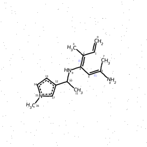 C=C/C(C)=C(\C=C(/C)N)NC(C)c1ccn(C)c1